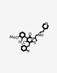 COc1cccc(-c2c(C)c(Cc3ccccc3F)c3n(c2=O)C(CNCCc2ccncc2)CS3)c1F